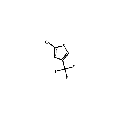 FC(F)(F)c1csc(Cl)c1